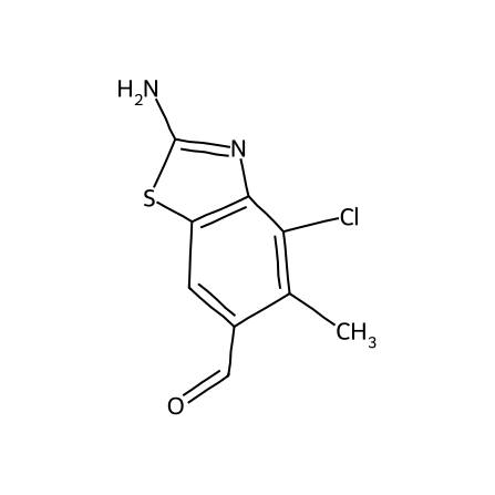 Cc1c(C=O)cc2sc(N)nc2c1Cl